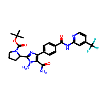 CC(C)(C)OC(=O)N1CCCC1c1nc(-c2ccc(C(=O)Nc3cc(C(F)(F)F)ccn3)cc2)c(C(N)=O)n1N